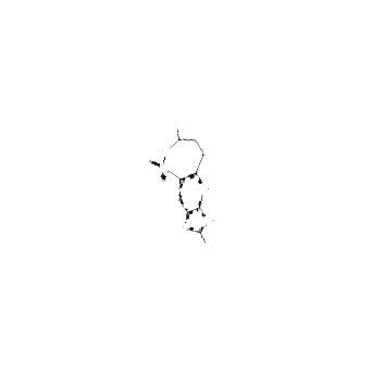 Cc1nc2nc3c(cc2[nH]1)S(=O)(=O)NC(C)CC3